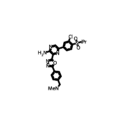 CNCc1ccc(-c2nnc(-c3nc(-c4ccc(S(=O)(=O)C(C)C)c(Cl)c4)cnc3N)o2)cc1